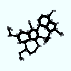 CCN1CCOc2c(Cl)c(-c3ccc(F)c4sc(N)c(C#N)c34)c(F)c3nc(OC)nc1c23